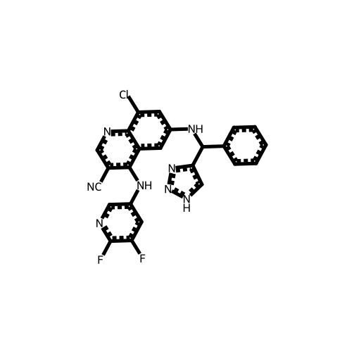 N#Cc1cnc2c(Cl)cc(NC(c3ccccc3)c3c[nH]nn3)cc2c1Nc1cnc(F)c(F)c1